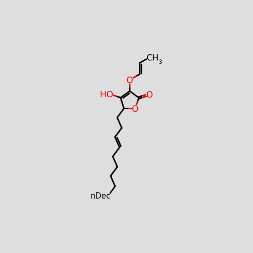 CC=COC1=C(O)C(CCC=CCCCCCCCCCCCCCC)OC1=O